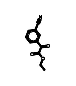 CCOC(=O)C(=O)c1cccc(C#N)c1